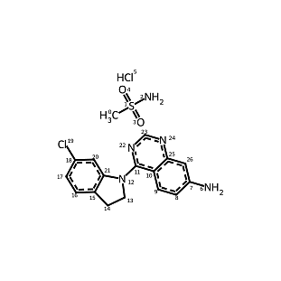 CS(N)(=O)=O.Cl.Nc1ccc2c(N3CCc4ccc(Cl)cc43)ncnc2c1